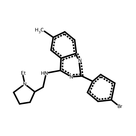 CCN1CCCC1CNc1nc(-c2ccc(Br)cc2)nc2ccc(C)cc12